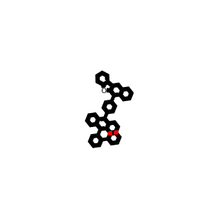 c1ccc(-c2ccccc2-c2c3ccccc3c(-c3ccc(-c4c5ccccc5cc5c4oc4ccccc45)cc3)c3ccccc23)cc1